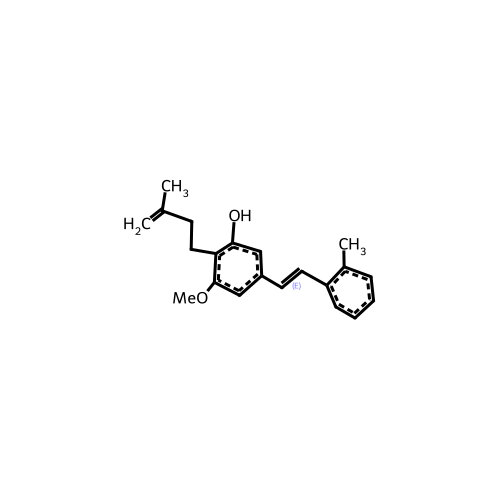 C=C(C)CCc1c(O)cc(/C=C/c2ccccc2C)cc1OC